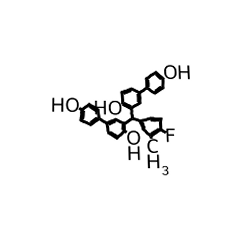 Cc1cc(C(c2cc(-c3ccc(O)cc3)ccc2O)c2cc(-c3ccc(O)cc3)ccc2O)ccc1F